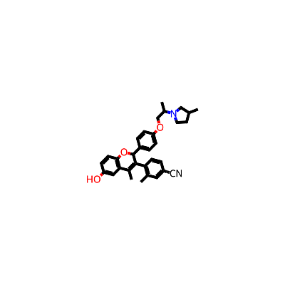 CC1=C(c2ccc(C#N)cc2C)C(c2ccc(OCC(C)N3CCC(C)C3)cc2)Oc2ccc(O)cc21